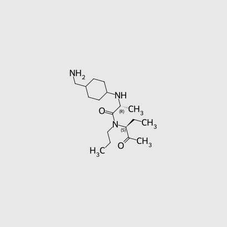 CCCN(C(=O)[C@@H](C)NC1CCC(CN)CC1)[C@@H](CC)C(C)=O